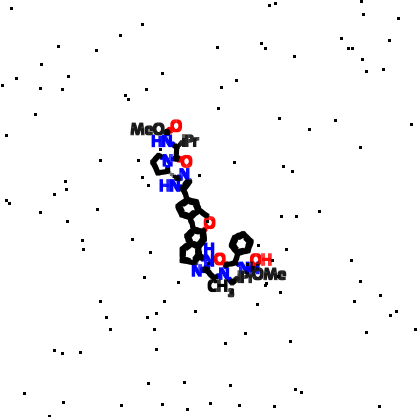 COC(=O)N[C@H](C(=O)N1CCC[C@H]1c1ncc(-c2ccc3c(c2)COc2cc4c(ccc5nc([C@H](C)N(CC(C)C)C(=O)[C@H](NC(O)OC)c6ccccc6)[nH]c54)cc2-3)[nH]1)C(C)C